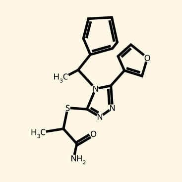 CC(Sc1nnc(-c2ccoc2)n1C(C)c1ccccc1)C(N)=O